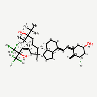 [2H]C([2H])([2H])C(O)(CCCC(C)(C/C=C\C(O)(C(F)(F)F)C(F)(F)F)[C@H]1CCC2/C(=C/C=C3/C[C@@H](O)C[C@H](F)C3=C)CCC[C@@]21C)C([2H])([2H])[2H]